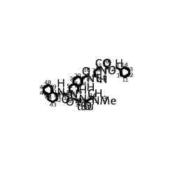 CC[C@H](C[C@H](NC(=O)OCc1ccccc1)C(=O)O)NC(=O)c1ccc2c(c1)CN(C(=O)[C@@H](NC(=O)[C@H](C)NC)C(C)(C)C)[C@H](C(=O)N[C@@H]1CCCc3ccccc31)C2